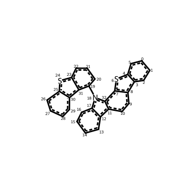 c1ccc2c(c1)sc1c2ccc2c3ccccc3n(-c3cccc4sc5ccccc5c34)c21